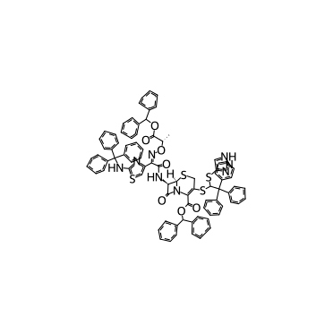 C[C@H](O/N=C(\C(=O)N[C@@H]1C(=O)N2C(C(=O)OC(c3ccccc3)c3ccccc3)=C(SC(Sc3c[nH]nn3)C(c3ccccc3)(c3ccccc3)c3ccccc3)CS[C@H]12)c1csc(NC(c2ccccc2)(c2ccccc2)c2ccccc2)n1)C(=O)OC(c1ccccc1)c1ccccc1